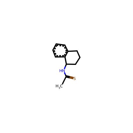 CC(=S)NC1CCCc2ccccc21